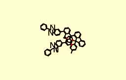 Cc1ccc(C2(c3ccc(C)cc3)c3ccccc3-c3cccc(-c4c5cccc(-c6ccc7nc(-c8ccccc8)n(C)c7c6)c5cc5c(-c6ccc7nc(-c8ccccc8)n(C)c7c6)cccc45)c32)cc1